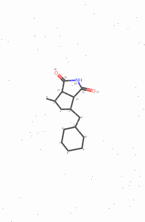 CC1CC(CC2CCCCC2)C2C(=O)NC(=O)C12